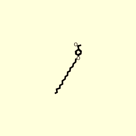 CCCCCCCCCCCCCCCCCOc1ccc(C(C)=O)cc1